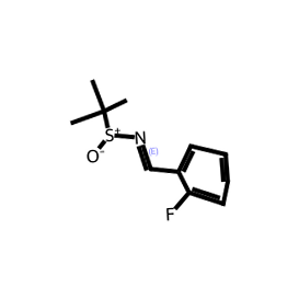 CC(C)(C)[S+]([O-])/N=C/c1ccccc1F